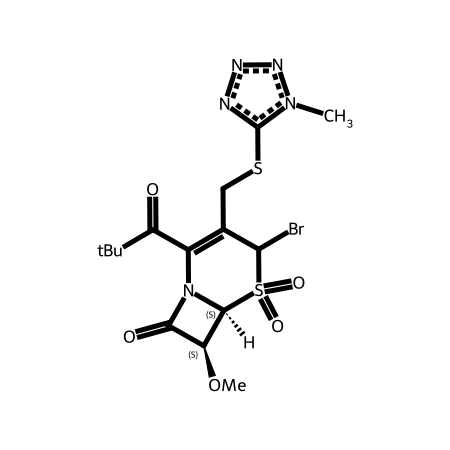 CO[C@H]1C(=O)N2C(C(=O)C(C)(C)C)=C(CSc3nnnn3C)C(Br)S(=O)(=O)[C@@H]12